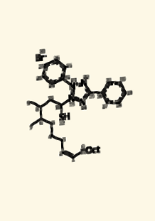 CCCCCCCC/C=C\CCCC(C)C(C)CC(S)n1nc(-c2ccccc2)n[n+]1-c1ccccc1.[Br-]